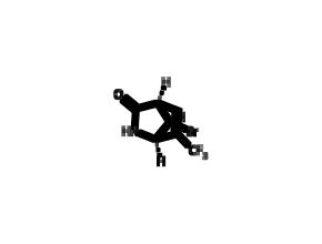 O=C1N[C@@H]2C(C(F)(F)F)=C[C@H]1[C@H]2Br